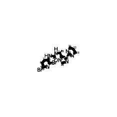 C[C@H](NC(=O)Nc1ccc(Br)nc1Br)c1ncnn1-c1ncccn1